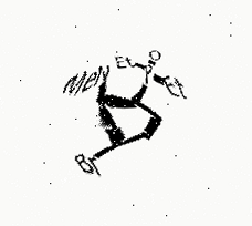 CCP(=O)(CC)c1ccc(Br)cc1NC